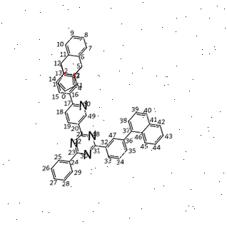 C1=CC2C(=C1)C1c3ccccc3C2c2ccc(-c3ccc(-c4nc(-c5ccccc5)nc(-c5cccc(-c6cccc7ccccc67)c5)n4)cn3)cc21